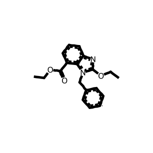 CCOC(=O)c1cccc2nc(OCC)n(Cc3cc[c]cc3)c12